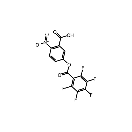 O=C(O)c1cc(OC(=O)c2c(F)c(F)c(F)c(F)c2F)ccc1[N+](=O)[O-]